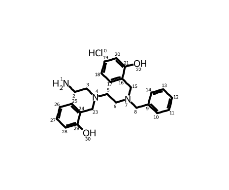 Cl.NCCN(CCN(Cc1ccccc1)Cc1ccccc1O)Cc1ccccc1O